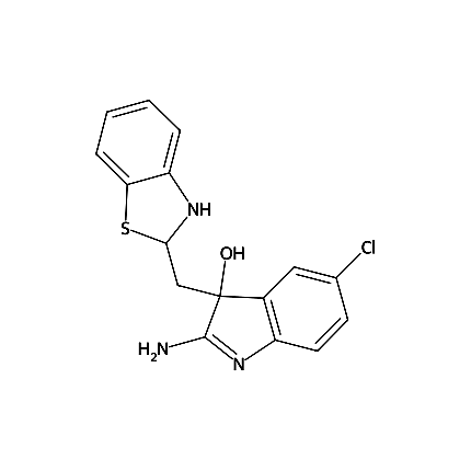 NC1=Nc2ccc(Cl)cc2C1(O)CC1Nc2ccccc2S1